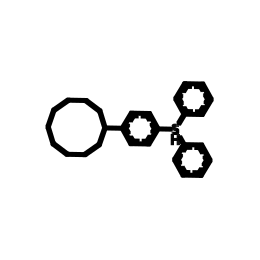 c1ccc([SH](c2ccccc2)c2ccc(C3CCCCCCCCC3)cc2)cc1